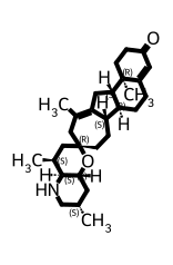 CC1=C2C[C@H]3[C@@H](CCC4=CC(=O)CC[C@@]43C)[C@@H]2CC[C@]2(C1)C[C@H](C)[C@@H]1NC[C@@H](C)C[C@H]1O2